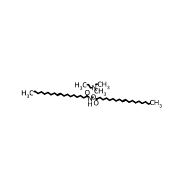 CCCCCCCCC=CCCCCCCCC(=O)NOC(=O)CCCCCCCC=CCCCCCCCC.CCCN(C)CC